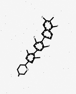 Cc1cc(C2CCC(C)CO2)cc(C)c1-c1cc(F)c(-c2ccc3c(F)c(C)c(F)cc3c2)c(F)c1